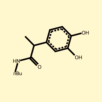 CCCCNC(=O)C(C)c1ccc(O)c(O)c1